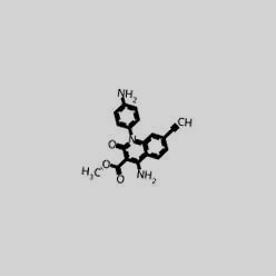 C#Cc1ccc2c(N)c(C(=O)OC)c(=O)n(-c3ccc(N)cc3)c2c1